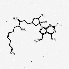 C=CCC/C=C\CCC(N)C(=C)CCC1CC(C)C(O)(n2cc(C=C)c3c(N)nc(C)nc32)C1